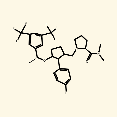 C[C@@H](OC1CCC(CN2CCC[C@H]2C(=O)N(C)C)C1c1ccc(F)cc1)c1cc(C(F)(F)F)cc(C(F)(F)F)c1